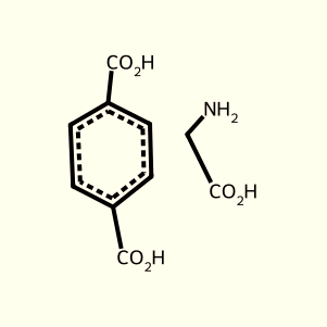 NCC(=O)O.O=C(O)c1ccc(C(=O)O)cc1